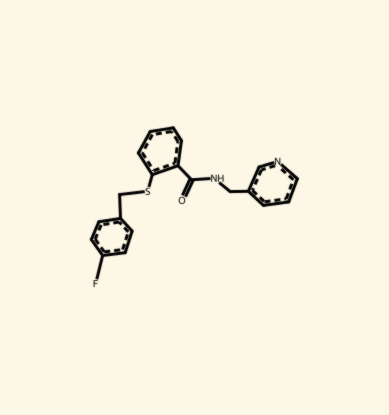 O=C(NCc1cccnc1)c1ccccc1SCc1ccc(F)cc1